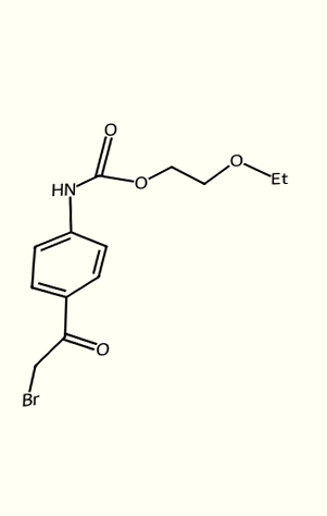 CCOCCOC(=O)Nc1ccc(C(=O)CBr)cc1